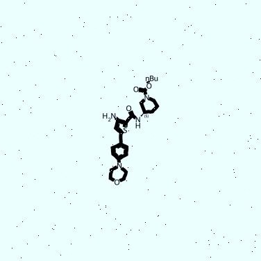 CCCCOC(=O)N1CCC[C@H](NC(=O)c2sc(-c3ccc(N4CCOCC4)cc3)cc2N)C1